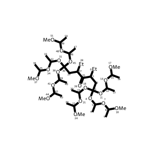 CCC(CC(OC(C)OC(C)OC)(OC(C)OC(C)OC)OC(C)OC(C)OC)C(=O)C(CC)CC(OC(C)OC(C)OC)(OC(C)OC(C)OC)OC(C)OC(C)OC